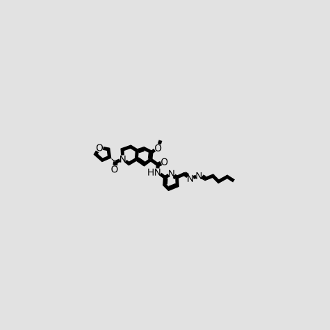 CCCC/C=N/N=C/c1cccc(NC(=O)c2cc3c(cc2OC)CCN(C(=O)[C@@H]2CCOC2)C3)n1